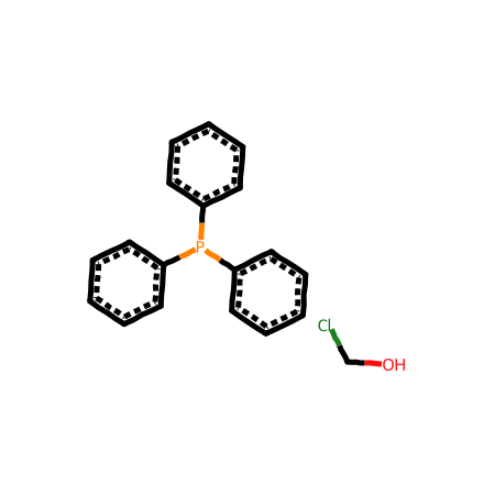 OCCl.c1ccc(P(c2ccccc2)c2ccccc2)cc1